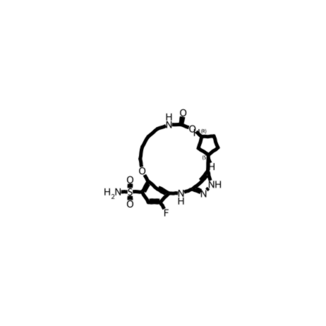 NS(=O)(=O)c1cc(F)c2cc1OCCCCNC(=O)O[C@@H]1CC[C@@H](C1)c1cc(n[nH]1)N2